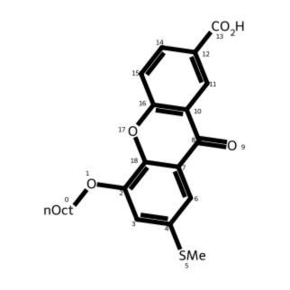 CCCCCCCCOc1cc(SC)cc2c(=O)c3cc(C(=O)O)ccc3oc12